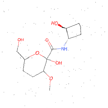 COC1CCC(CO)OC1(O)C(=O)N[C@H]1CC[C@@H]1O